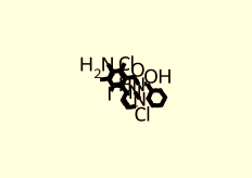 Cc1c(N)c(Cl)c(C(=O)NC(O)C2CCCCC2)c(-c2ccc(Cl)nn2)c1I